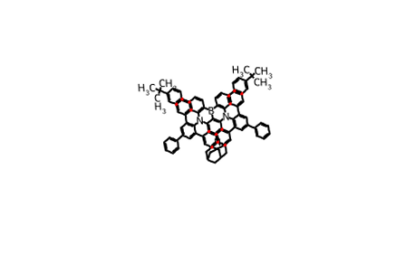 CC(C)(C)c1ccc(-c2ccc3c(c2)N(c2c(-c4ccccc4)cc(-c4ccccc4)cc2-c2ccccc2)c2cc(N4C5CC6CC(C5)CC4C6)cc4c2B3c2ccc(-c3ccc(C(C)(C)C)cc3)cc2N4c2c(-c3ccccc3)cc(-c3ccccc3)cc2-c2ccccc2)cc1